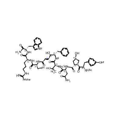 CNC(=N)NCCC[C@H](NC(=O)[C@H](CC(C)C)NC(=O)/C=C/[C@H](O)[C@H](Cc1ccccc1)NC(=O)[C@@H](NC(=O)[C@H](CC(N)=O)NC(=O)[C@@H]1C[C@@H](O)CN1C(=O)[C@@H](Cc1ccc(O)cc1)NC(C)=O)[C@@H](C)O)C(=O)N[C@@H](Cc1c[nH]c2ccccc12)C(N)=O